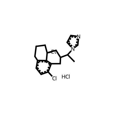 CCC12CCCc3ccc(Cl)c(c31)CC(C(C)n1ccnc1)C2.Cl